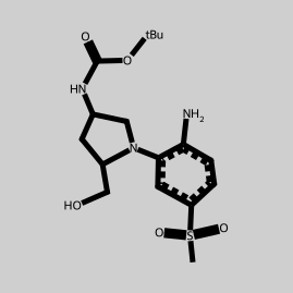 CC(C)(C)OC(=O)NC1CC(CO)N(c2cc(S(C)(=O)=O)ccc2N)C1